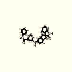 CN(C(=O)c1cc(Nc2ccc3c(c2)CC2(C3)C(=O)Nc3ncccc32)ncn1)c1ccccc1